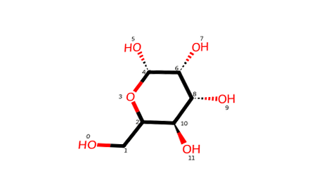 OCC1O[C@H](O)[C@H](O)[C@H](O)[C@H]1O